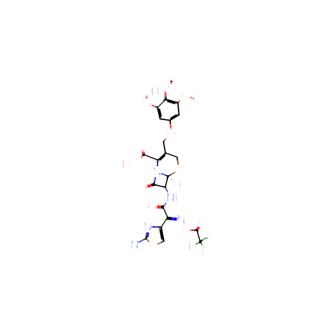 COc1cc(OCC2=C(C(=O)O)N3C(=O)C(NC(=O)C(=NOC(=O)C(F)(F)F)c4csc(N)n4)[C@@H]3SC2)cc(OC)c1OC